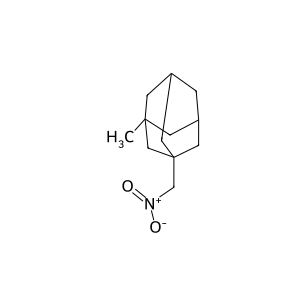 CC12CC3CC(C1)CC(C[N+](=O)[O-])(C3)C2